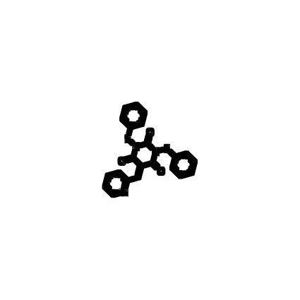 O=C1C(=Cc2ccccn2)C(=O)N(Sc2ccccc2)C(=O)N1Sc1ccccc1